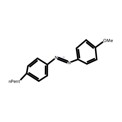 CCCCCc1ccc(/N=N/c2ccc(OC)cc2)cc1